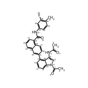 CC(=O)Nc1nn(C(C)=O)c2cccc(-c3ccc4c(C(=O)Nc5ccc(C)c(F)c5)cccc4c3)c12